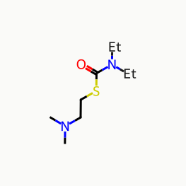 [CH2]CN(C[CH2])C(=O)SCCN(C)C